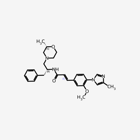 COc1cc(/C=C/C(=O)N[C@H](Cc2ccccc2)CN2CCO[C@@H](C)C2)ccc1-n1cnc(C)c1